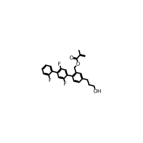 C=C(C)C(=O)OCc1cc(CCCO)ccc1-c1cc(F)c(-c2ccccc2F)cc1F